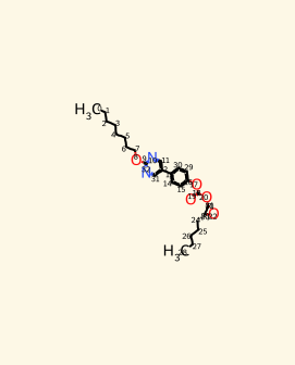 CCCCCCCCOc1ncc(-c2ccc(OC(=O)O[C@H]3O[C@@H]3CCCCC)cc2)cn1